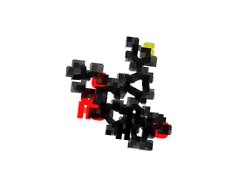 CC[C@@]12C[C@H](c3ccc(-c4ccsc4)cc3)C3=C4CCC5(C[C@]4(O)CC[C@H]3[C@@H]1CCC2=O)OCC(C)(C)CO5